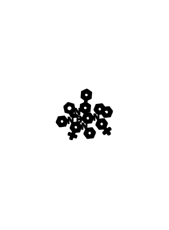 CC(C)(C)c1ccc(N(c2ccc3c(c2)N(c2ccccc2)c2cc(C(C)(C)C)cc4c2B3c2c(c3c(n2-c2cccc(-c5ccccc5)c2)CCCC3)N4c2ccccc2)c2cccc3ccccc23)cc1